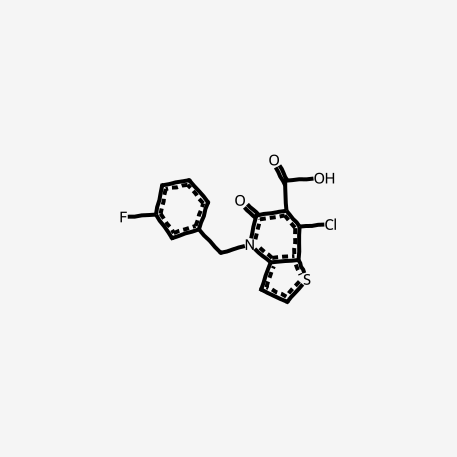 O=C(O)c1c(Cl)c2sccc2n(Cc2cccc(F)c2)c1=O